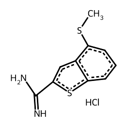 CSc1cccc2sc(C(=N)N)cc12.Cl